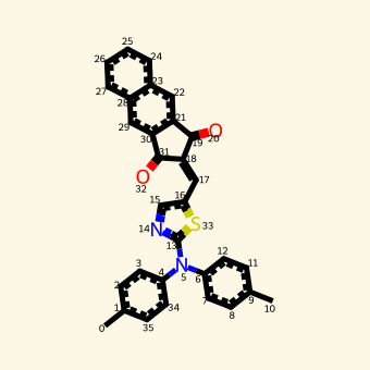 Cc1ccc(N(c2ccc(C)cc2)c2ncc(C=C3C(=O)c4cc5ccccc5cc4C3=O)s2)cc1